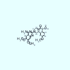 COc1ccc(C(C(=O)N2CCN(c3nc(N)c4cc(OC)c(OC)cc4n3)CC2)C2CC2)cc1